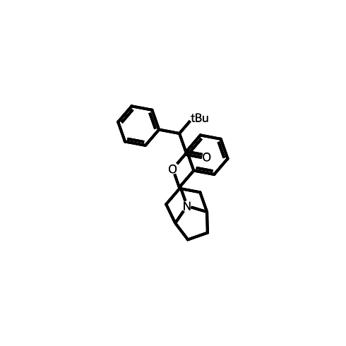 CC(C)(C)C(C(=O)OC1CC2CCC(C1)N2Cc1ccccc1)c1ccccc1